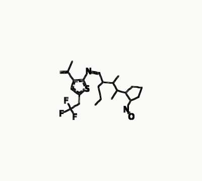 C=C(C)c1cc(CC(F)(F)F)sc1/N=C\C(CCC)C(C)C(C)C1CCCC1N=O